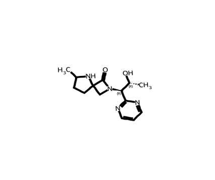 CC1CCC2(CN([C@H](c3ncccn3)[C@@H](C)O)C2=O)N1